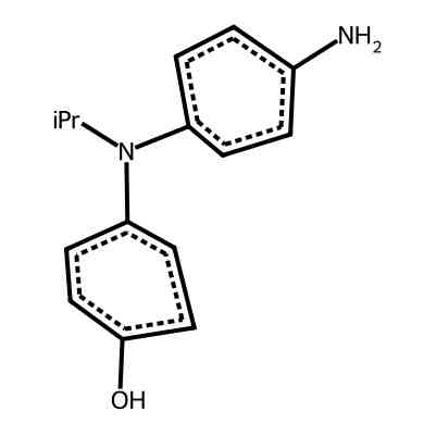 CC(C)N(c1ccc(N)cc1)c1ccc(O)cc1